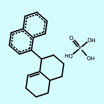 C1=C2C(CCC1)CCCC2c1cccc2ccccc12.O=P(O)(O)O